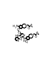 COc1cc2c(cc1N)CCN(CC(=O)N(C)C)CC2.COc1cc2c(cc1Nc1ncc(Cl)c(Nc3cccnc3OC)n1)CCN(CC(=O)N(C)C)CC2